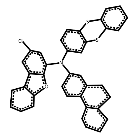 Clc1cc(N(c2ccc3c(c2)Sc2ccccc2S3)c2ccc3c(ccc4ccccc43)c2)c2oc3ccccc3c2c1